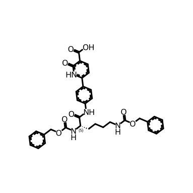 O=C(NCCCC[C@H](NC(=O)OCc1ccccc1)C(=O)Nc1ccc(-c2ccc(C(=O)O)c(=O)[nH]2)cc1)OCc1ccccc1